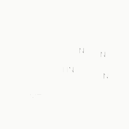 Oc1ccccc1.c1nnn[nH]1